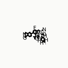 C[C@H]1[C@H]2[C@H]3C[C@@H]([C@@H]12)N(C(=O)OC(C)(C)C)[C@@H]3C(=O)N[C@H](C#N)Cc1ccc(-c2ccc3c(c2)CN(C)C3=O)cc1F